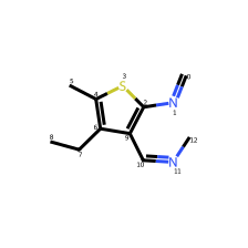 C=Nc1sc(C)c(CC)c1/C=N\C